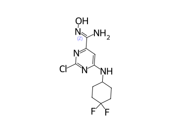 N/C(=N\O)c1cc(NC2CCC(F)(F)CC2)nc(Cl)n1